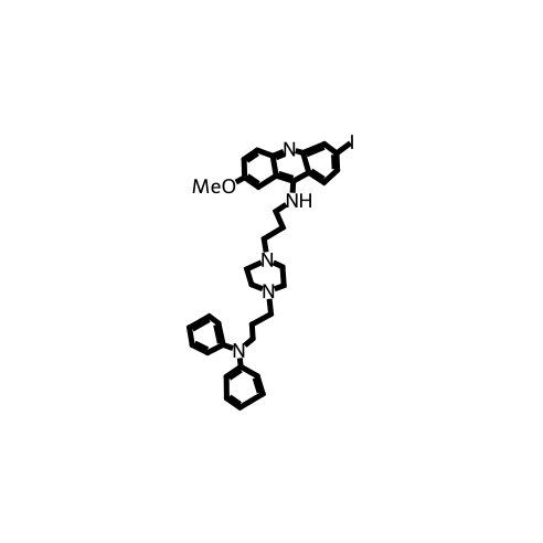 COc1ccc2nc3cc(I)ccc3c(NCCCN3CCN(CCCN(c4ccccc4)c4ccccc4)CC3)c2c1